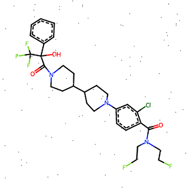 O=C(c1ccc(N2CCC(C3CCN(C(=O)C(O)(c4ccccc4)C(F)(F)F)CC3)CC2)cc1Cl)N(CCF)CCF